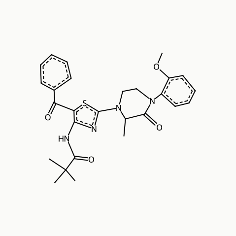 COc1ccccc1N1CCN(c2nc(NC(=O)C(C)(C)C)c(C(=O)c3ccccc3)s2)C(C)C1=O